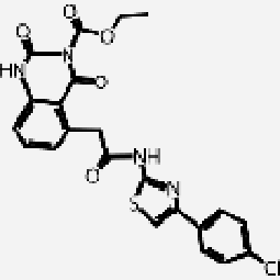 CCOC(=O)n1c(=O)[nH]c2cccc(CC(=O)Nc3nc(-c4ccc(Cl)cc4)cs3)c2c1=O